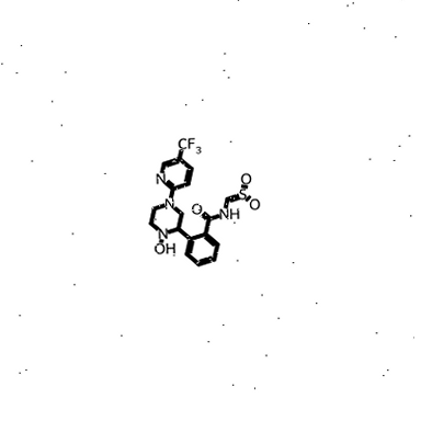 O=C(NC=S(=O)=O)c1ccccc1C1CN(c2ccc(C(F)(F)F)cn2)CCN1O